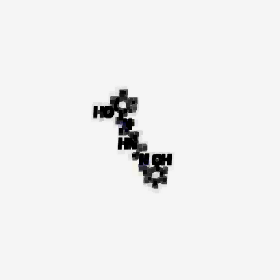 Oc1ccccc1/C=N/CCNCC/N=C/c1ccccc1O